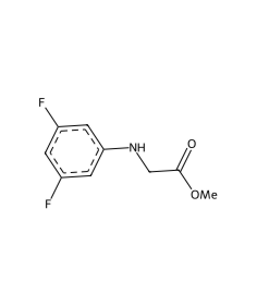 COC(=O)CNc1cc(F)cc(F)c1